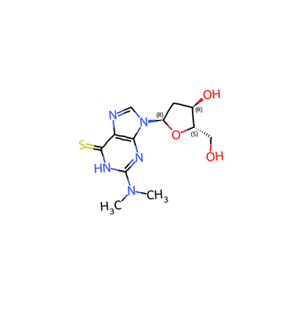 CN(C)c1nc2c(ncn2[C@H]2C[C@@H](O)[C@H](CO)O2)c(=S)[nH]1